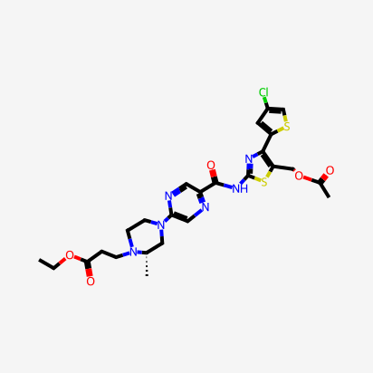 CCOC(=O)CCN1CCN(c2cnc(C(=O)Nc3nc(-c4cc(Cl)cs4)c(COC(C)=O)s3)cn2)C[C@@H]1C